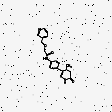 CC1CC(=O)NN=C1c1ccc(NC(=O)COCc2cccnc2)cc1